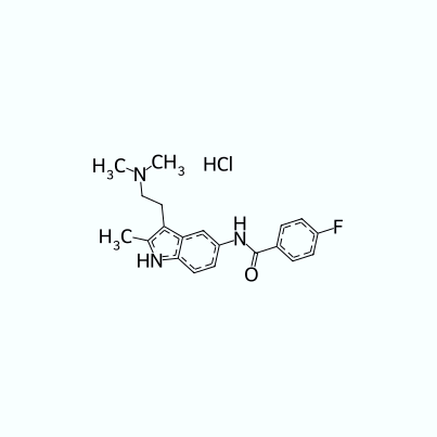 Cc1[nH]c2ccc(NC(=O)c3ccc(F)cc3)cc2c1CCN(C)C.Cl